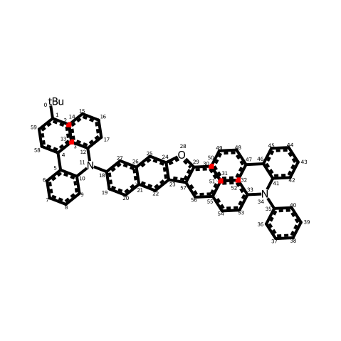 CC(C)(C)c1ccc(-c2ccccc2N(c2ccccc2)c2ccc3cc4c(cc3c2)oc2cc3cc(N(c5ccccc5)c5ccccc5-c5ccccc5)ccc3cc24)cc1